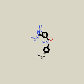 Cc1ccc(CNC(=O)c2ccc3[nH]nc(N)c3c2)cc1